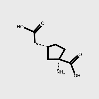 N[C@@]1(C(=O)O)CC[C@@H](CC(=O)O)C1